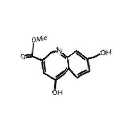 COC(=O)c1cc(O)c2ccc(O)cc2n1